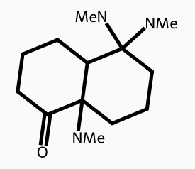 CNC1(NC)CCCC2(NC)C(=O)CCCC12